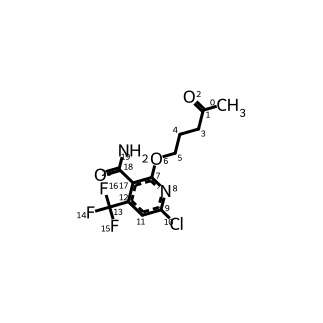 CC(=O)CCCOc1nc(Cl)cc(C(F)(F)F)c1C(N)=O